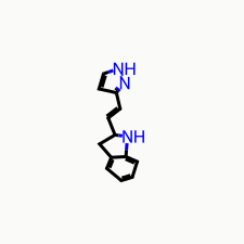 C(=C\C1Cc2ccccc2N1)/c1cc[nH]n1